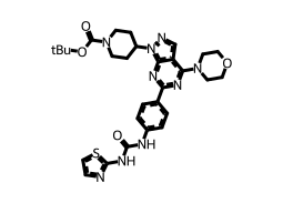 CC(C)(C)OC(=O)N1CCC(n2ncc3c(N4CCOCC4)nc(-c4ccc(NC(=O)Nc5nccs5)cc4)nc32)CC1